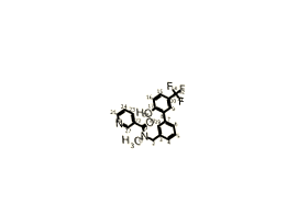 CN(Cc1cccc(-c2cc(C(F)(F)F)ccc2O)c1)C(=O)c1cccnc1